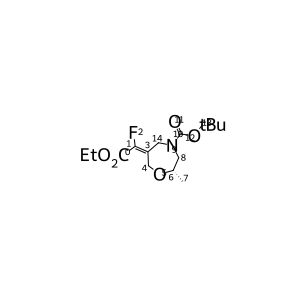 CCOC(=O)/C(F)=C1\CO[C@@H](C)CN(C(=O)OC(C)(C)C)C1